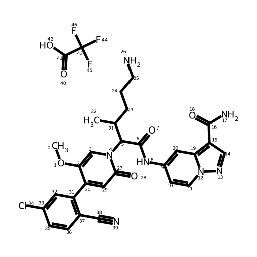 COc1cn(C(C(=O)Nc2ccn3ncc(C(N)=O)c3c2)C(C)CCCN)c(=O)cc1-c1cc(Cl)ccc1C#N.O=C(O)C(F)(F)F